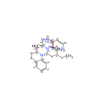 CCC(CC(N1C(=O)CCc2ccccc21)N1[C@H](C)CCC[C@@H]1C)c1nccc(N)n1